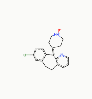 [O-][NH+]1CCC(=C2c3ccc(Cl)cc3CCc3cccnc32)CC1